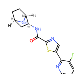 O=C(N[C@@H]1C[C@H]2CC[C@@H]1N2)c1ncc(-c2ncccc2F)s1